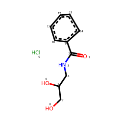 Cl.O=C(NCC(O)CO)c1ccccc1